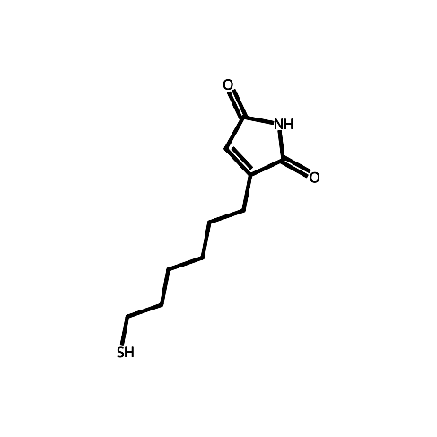 O=C1C=C(CCCCCCS)C(=O)N1